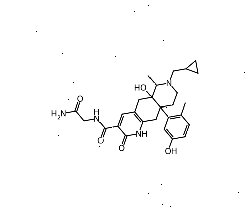 Cc1ccc(O)cc1C12CCN(CC3CC3)C(C)C1(O)Cc1cc(C(=O)NCC(N)=O)c(=O)[nH]c1C2